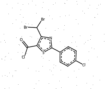 O=C(Cl)c1sc(-c2ccc(Cl)cc2)nc1C(Br)Br